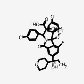 CC[C@@](O)(c1cc(F)c2c(c1)C(=O)N(C(c1ccc(Cl)cc1)C(C)C(=O)O)C2(OC)c1ccc(Cl)cc1)C1CCOCC1